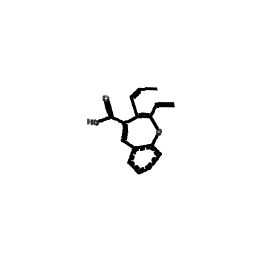 C=CC1=C(/C=C\C)C(C(=O)O)=Cc2ccccc2O1